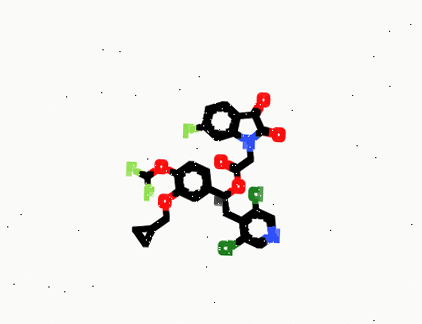 O=C(CN1C(=O)C(=O)c2ccc(F)cc21)O[C@@H](Cc1c(Cl)cncc1Cl)c1ccc(OC(F)F)c(OCC2CC2)c1